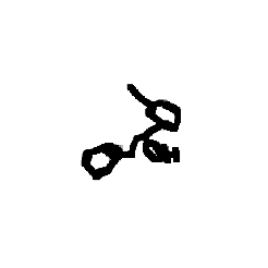 Cc1cccc(C(O)CCc2ccccc2)c1